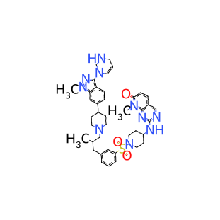 CC(Cc1cccc(S(=O)(=O)N2CCC(Nc3ncc4ccc(=O)n(C)c4n3)CC2)c1)CN1CCC(c2ccc3c(N4C=CCNC4)nn(C)c3c2)CC1